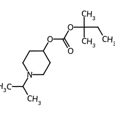 CCC(C)(C)OC(=O)OC1CCN(C(C)C)CC1